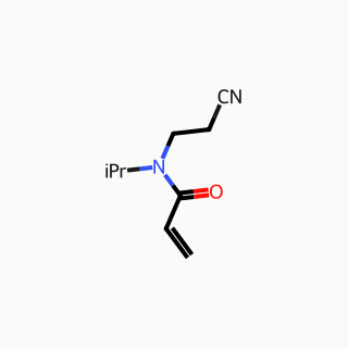 C=CC(=O)N(CCC#N)C(C)C